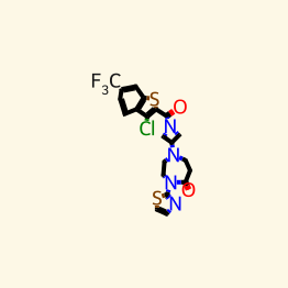 O=C(c1sc2cc(C(F)(F)F)ccc2c1Cl)N1CC(N2CCC(=O)N(c3nccs3)CC2)C1